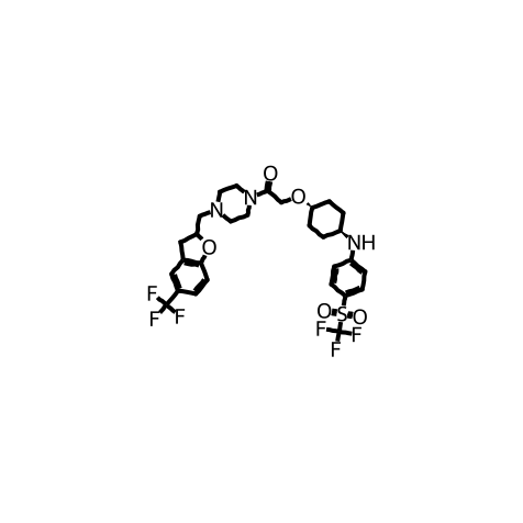 O=C(CO[C@H]1CC[C@H](Nc2ccc(S(=O)(=O)C(F)(F)F)cc2)CC1)N1CCN(CC2Cc3cc(C(F)(F)F)ccc3O2)CC1